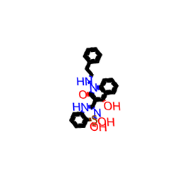 O=c1c(C2=NS(O)(O)c3ccccc3N2)c(O)c2ccccc2n1NCCc1ccccc1